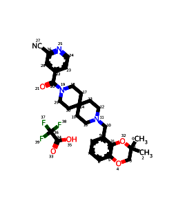 CC1(C)COc2cccc(CN3CCC4(CC3)CCN(C(=O)c3ccnc(C#N)c3)CC4)c2O1.O=C(O)C(F)(F)F